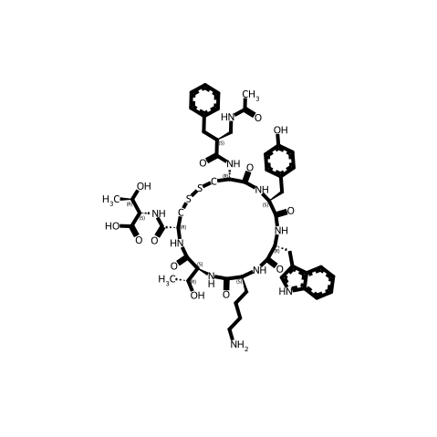 CC(=O)NC[C@H](Cc1ccccc1)C(=O)N[C@H]1CSSC[C@@H](C(=O)N[C@H](C(=O)O)[C@@H](C)O)NC(=O)[C@H]([C@@H](C)O)NC(=O)[C@H](CCCCN)NC(=O)[C@@H](Cc2c[nH]c3ccccc23)NC(=O)[C@H](Cc2ccc(O)cc2)NC1=O